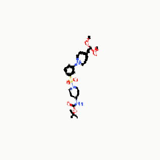 COC(OC)C1CCN(c2cccc(S(=O)(=O)N3CCC(NC(=O)OC(C)(C)C)CC3)c2)CC1